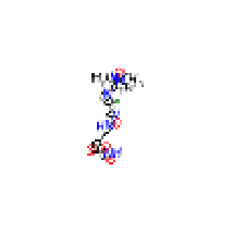 CC(C)c1cc(N2CCCc3cc(-c4ccc(C(=O)NCC#Cc5ccc6occ(C7CCC(=O)NC7=O)c6c5)nc4)c(F)cc32)cc2c1n(C)c(=O)n2C